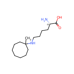 CC1(NCCCC[C@H](N)C(=O)O)CCCCCCC1